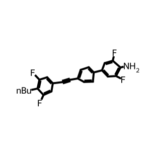 CCCCc1c(F)cc(C#Cc2ccc(-c3cc(F)c(N)c(F)c3)cc2)cc1F